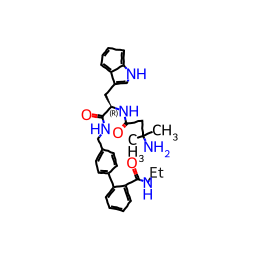 CCNC(=O)c1ccccc1-c1ccc(CNC(=O)[C@@H](Cc2c[nH]c3ccccc23)NC(=O)CC(C)(C)N)cc1